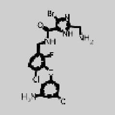 NCc1nc(Br)c(C(=O)NCc2ccc(Cl)c(Oc3cc(N)cc(Cl)c3)c2F)[nH]1